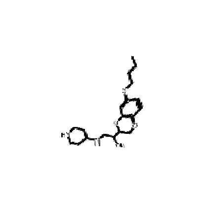 CCCCOc1ccc2c(c1)OC(C(O)CNC1CCNCC1)CO2